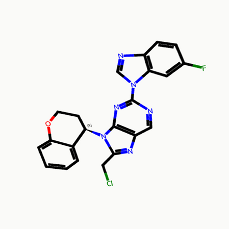 Fc1ccc2ncn(-c3ncc4nc(CCl)n([C@@H]5CCOc6ccccc65)c4n3)c2c1